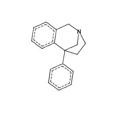 c1ccc(C23CCN(Cc4ccccc42)C3)cc1